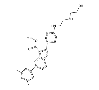 Cc1cc(-c2ccc3c(C)c(-c4ccc(NCCNCCO)nc4)n(C(=O)OC(C)(C)C)c3c2)cc(C)n1